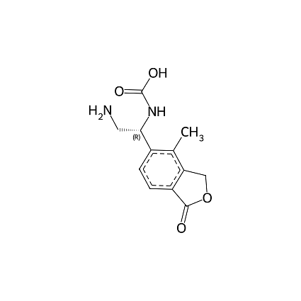 Cc1c([C@H](CN)NC(=O)O)ccc2c1COC2=O